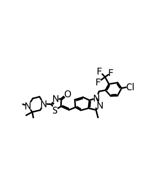 Cc1nn(Cc2ccc(Cl)cc2C(F)(F)F)c2ccc(C=C3SC(N4CCN(C)C(C)(C)C4)=NC3=O)cc12